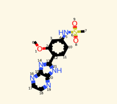 COc1cc(NS(C)(=O)=O)ccc1-c1nc2nccnc2[nH]1